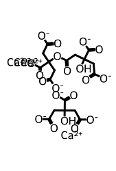 O=C([O-])CC(O)(CC(=O)OC(CC(=O)[O-])(CC(=O)[O-])C(=O)[O-])C(=O)[O-].O=C([O-])CC(O)(CC(=O)[O-])C(=O)[O-].[Ca+2].[Ca+2].[Ca+2].[Ca+2]